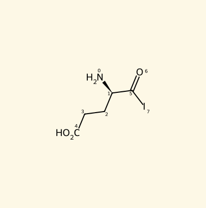 N[C@H](CCC(=O)O)C(=O)I